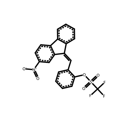 O=[N+]([O-])c1ccc2c(c1)C(=Cc1ccccc1OS(=O)(=O)C(F)(F)F)c1ccccc1-2